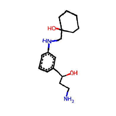 NCCC(O)c1cccc(NCC2(O)CCCCC2)c1